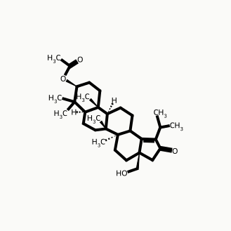 CC(=O)O[C@H]1CC[C@]2(C)[C@H]3CCC4C5=C(C(C)C)C(=O)C[C@]5(CO)CC[C@@]4(C)[C@]3(C)CC[C@H]2C1(C)C